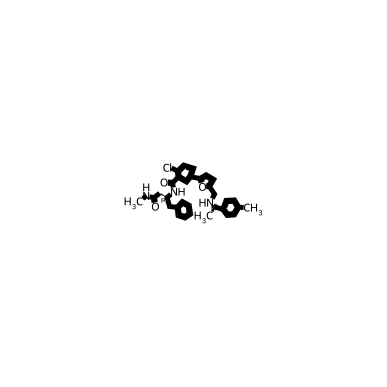 CNC(=O)C[C@@H](Cc1ccccc1)NC(=O)c1cc(-c2ccc(CN[C@H](C)c3ccc(C)cc3)o2)ccc1Cl